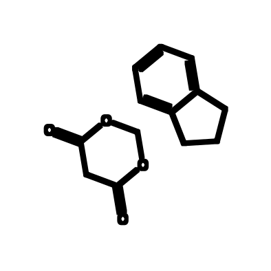 O=C1CC(=O)OCO1.c1ccc2c(c1)CCC2